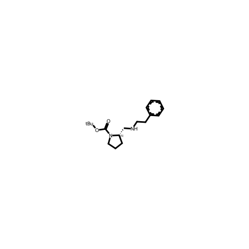 CC(C)(C)OC(=O)N1CCC[C@H]1CNCCc1ccccc1